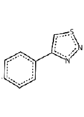 [c]1ccc(-c2csnn2)cc1